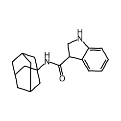 O=C(NC12CC3CC(CC(C3)C1)C2)C1CNc2ccccc21